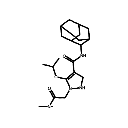 CNC(=O)CN1NCC(C(=O)NC2C3CC4CC(C3)CC2C4)=C1OC(C)C